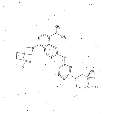 CC(C)c1ccc(N2CC3(CCS3(=O)=O)C2)c2cnc(Nc3ccnc(N4CC[C@@H](O)[C@@](C)(F)C4)n3)cc12